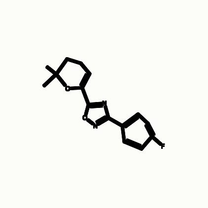 CC1(C)CCC=C(c2nc(-c3ccc(F)cc3)no2)O1